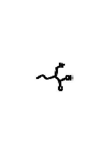 CCCC(=CBr)C(=O)O